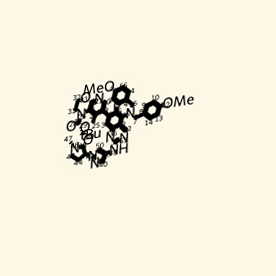 COc1ccc(CN(Cc2ccc(OC)cc2)c2c(F)c(-c3cnc4c(c3C)N(C(=O)OC(C)(C)C)CCO4)cc3nc(Nc4cnn(C5CCN(C)C5=O)c4)ncc23)cc1